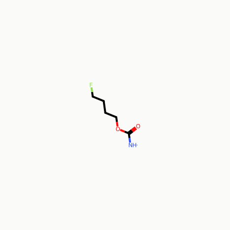 [NH]C(=O)OCCCCF